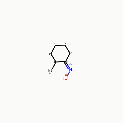 CCC1CCCC/C1=N/O